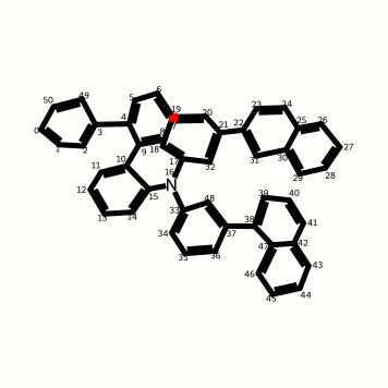 c1ccc(-c2ccccc2-c2ccccc2N(c2cccc(-c3ccc4ccccc4c3)c2)c2cccc(-c3cccc4ccccc34)c2)cc1